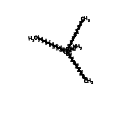 CCCCCCCCCCCCCCCCO[Si](CCCN)(OCCCCCCCCCCCCCCCC)OCCCCCCCCCCCCCCCC